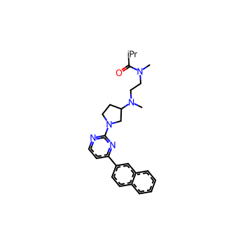 CC(C)C(=O)N(C)CCN(C)C1CCN(c2nccc(-c3ccc4ccccc4c3)n2)C1